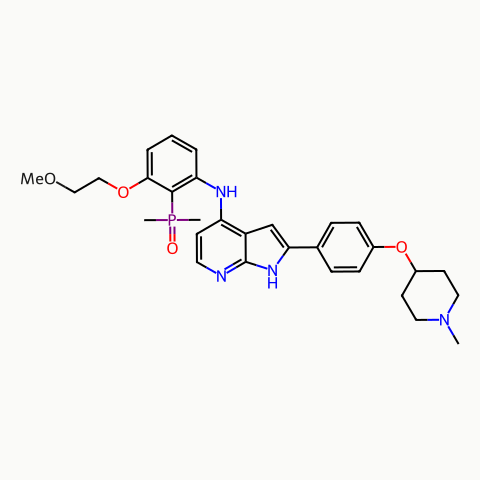 COCCOc1cccc(Nc2ccnc3[nH]c(-c4ccc(OC5CCN(C)CC5)cc4)cc23)c1P(C)(C)=O